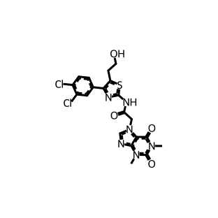 Cn1c(=O)c2c(ncn2CC(=O)Nc2nc(-c3ccc(Cl)c(Cl)c3)c(CCO)s2)n(C)c1=O